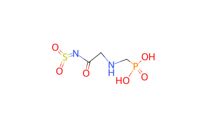 O=C(CNCP(=O)(O)O)N=S(=O)=O